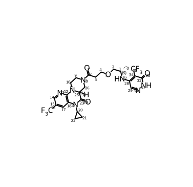 C[C@@H](COCCC(=O)N1CCN2c3ncc(C(F)(F)F)cc3N(C3CC3)C(=O)[C@H]2C1)Nc1cn[nH]c(=O)c1C(F)(F)F